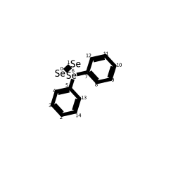 [Se]=[Se].c1ccc([Se]c2ccccc2)cc1